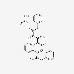 CCN(Cc1ccccc1)C(=O)c1ccccc1-c1ccccc1C(=O)N(CCC(=O)O)Cc1ccccc1